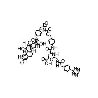 C[C@]12C=CC(=O)C=C1CC[C@@H]1[C@@H]2[C@@H](O)C[C@@]2(C)[C@H]1C[C@H]1O[C@@H](c3ccc(CC4(NC(=O)OCc5ccc(NC(=O)[C@H](CCC(=O)O)NC(=O)CNC(=O)Cc6ccc(-c7nncnn7)cc6)cc5)COC4)cc3)O[C@]12C(=O)CO